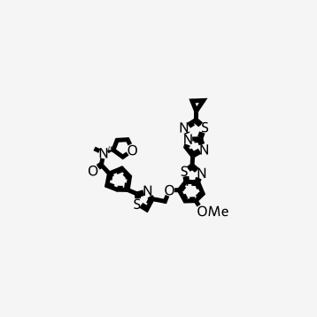 COc1cc(OCc2csc(-c3ccc(C(=O)N(C)[C@H]4CCOC4)cc3)n2)c2sc(-c3cn4nc(C5CC5)sc4n3)nc2c1